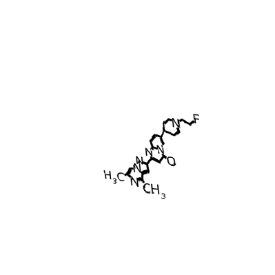 Cc1cn2nc(-c3cc(=O)n4cc(C5CCN(CCF)CC5)ccc4n3)cc2c(C)n1